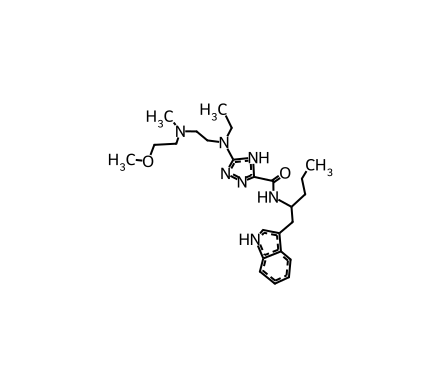 CCCC(Cc1c[nH]c2ccccc12)NC(=O)c1nnc(N(CC)CCN(C)CCOC)[nH]1